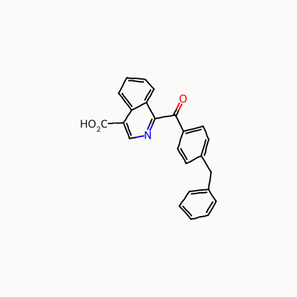 O=C(O)c1cnc(C(=O)c2ccc(Cc3ccccc3)cc2)c2ccccc12